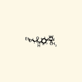 CCO/C=C/C(=O)Nc1ccc(-n2ccnc2C)cc1